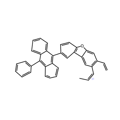 C=Cc1cc2oc3ccc(-c4c5ccccc5c(-c5ccccc5)c5ccccc45)cc3c2cc1/C=C\C